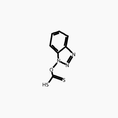 S=C(S)On1nnc2ccccc21